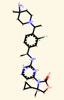 CC(c1ccc([C@H](C)Nc2nccc(N3C(=O)OC[C@]3(C)C3CC3)n2)cc1F)N1CCC(C)(N)CC1